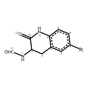 O=CNC1Cc2cc(Br)ccc2NC1=O